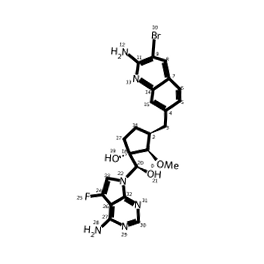 CO[C@@H]1[C@H](Cc2ccc3cc(Br)c(N)nc3c2)CC[C@]1(O)[C@@H](O)n1cc(F)c2c(N)ncnc21